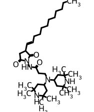 CCCCCCCCCCC=CC1CC(=O)N(NC(=O)CCN(C2CC(C)(C)NC(C)(C)C2)C2CC(C)(C)NC(C)(C)C2)C1=O